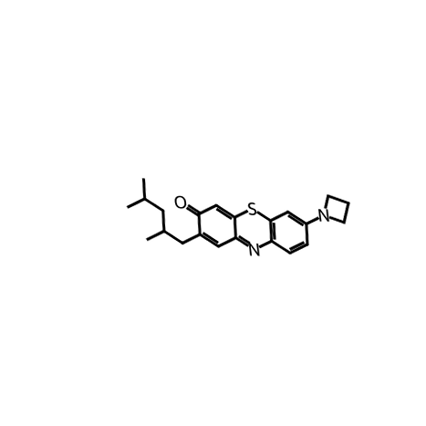 CC(C)CC(C)Cc1cc2nc3ccc(N4CCC4)cc3sc-2cc1=O